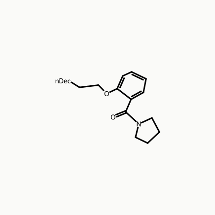 CCCCCCCCCCCCOc1ccccc1C(=O)N1CCCC1